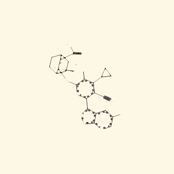 N#Cc1c(-c2n[nH]c3ncc(Cl)cc23)nc(N[C@@H]2C3CCC(CC3)[C@H]2C(=O)O)c(F)c1C1CC1